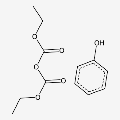 CCOC(=O)OC(=O)OCC.Oc1ccccc1